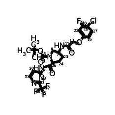 CC(C)(C)OC(=O)N1CC(NC(=O)COc2ccc(Cl)c(F)c2)CC[C@H]1C(=O)Nc1ccnc(C(F)(F)F)n1